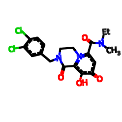 CCN(C)C(=O)c1cc(=O)c(O)c2n1CCN(Cc1ccc(Cl)c(Cl)c1)C2=O